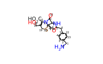 NCc1ccc(CC(=O)NC2C(=O)N3C(C(=O)O)=C(CO)CS[C@@H]23)cc1